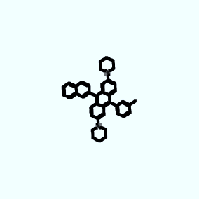 Cc1cccc(-c2c3ccc(N4CCCCC4)cc3c(-c3ccc4ccccc4c3)c3ccc(N4CCCCC4)cc23)c1